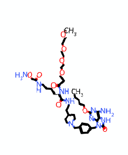 CCCCCOc1nc(N)c2[nH]c(=O)n(Cc3ccc(CN4CCC(CCNC(=O)[C@H](CCCCNC(=O)CON)NC(=O)CCOCCOCCOCCOC)CC4)cc3)c2n1